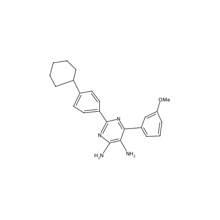 COc1cccc(-c2nc(-c3ccc(C4CCCCC4)cc3)nc(N)c2N)c1